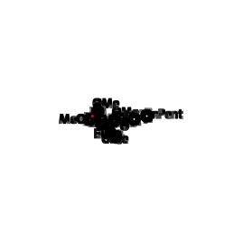 CCCCCC1CCC(C2CCC(C(=O)Oc3cc4c5c(c6c(c4cc3OC)OC(c3ccc(OC)cc3)(c3ccc(OC)cc3)C=C6)C(CC)(OC)c3ccccc3-5)CC2)CC1